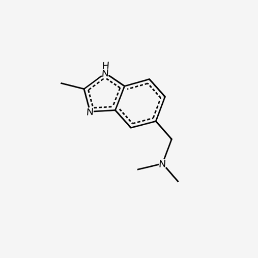 Cc1nc2cc(CN(C)C)ccc2[nH]1